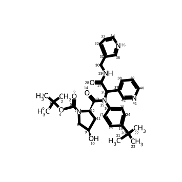 CC(C)(C)OC(=O)N1C[C@H](O)C[C@@H]1C(=O)N(c1ccc(C(C)(C)C)cc1)C(C(=O)NCc1cccnc1)c1cccnc1